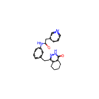 O=C(Cc1cccnc1)Nc1cccc(Cc2n[nH]c(=O)c3c2CCCC3)c1